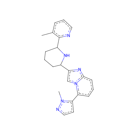 Cc1cccnc1C1CCCC(c2cn3c(-c4ccnn4C)cccc3n2)N1